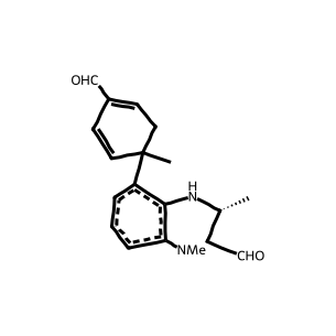 CNc1cccc(C2(C)C=CC(C=O)=CC2)c1N[C@H](C)CC=O